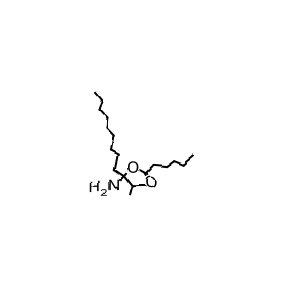 CCCCCCCCCC(N)(OC(=O)CCCCC)C(C)C